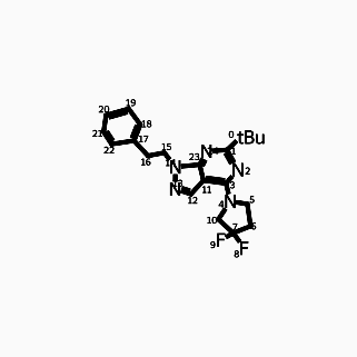 CC(C)(C)c1nc(N2CCC(F)(F)C2)c2cnn(CCc3ccccc3)c2n1